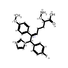 COc1ccc(/C(=C\CCC(ON)C(=O)O)C(c2ccc(F)cc2)n2ccnc2)cc1